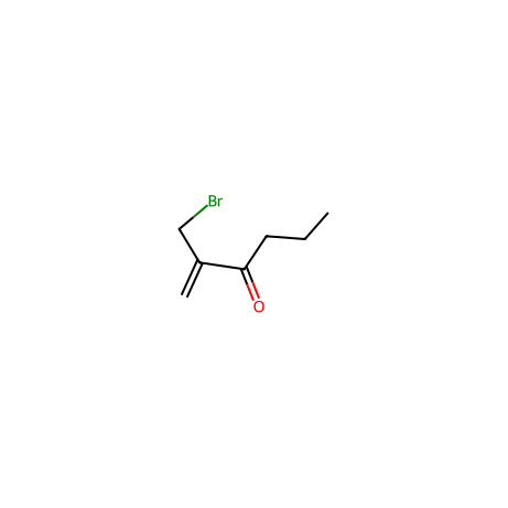 C=C(CBr)C(=O)CCC